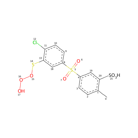 Cc1ccc(S(=O)(=O)c2ccc(Cl)c(SOOO)c2)cc1S(=O)(=O)O